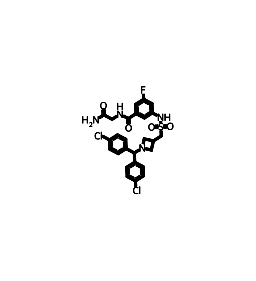 NC(=O)CNC(=O)c1cc(F)cc(NS(=O)(=O)CC2CN(C(c3ccc(Cl)cc3)c3ccc(Cl)cc3)C2)c1